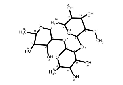 COC1C(OC2C(OC3COC(C)C(O)C3O)OC(C)C(O)C2O)OC(C)C(O)C1O